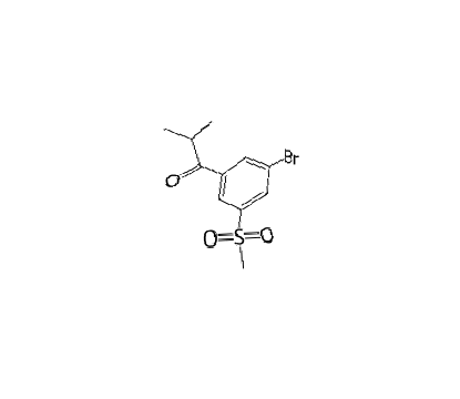 CC(C)C(=O)c1cc(Br)cc(S(C)(=O)=O)c1